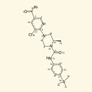 CC(C)C(=O)c1cnc(N2CCN(C(=O)Nc3ccc([Si](C)(C)C)cc3)[C@H](C)C2)c(Cl)c1